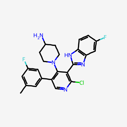 Cc1cc(F)cc(-c2cnc(Cl)c(-c3nc4cc(F)ccc4[nH]3)c2N2CCC(N)CC2)c1